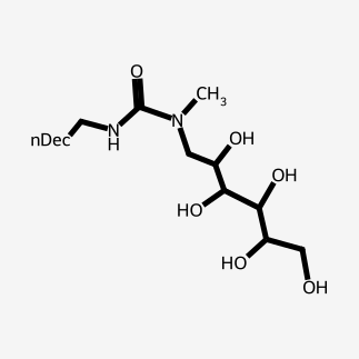 CCCCCCCCCCCNC(=O)N(C)CC(O)C(O)C(O)C(O)CO